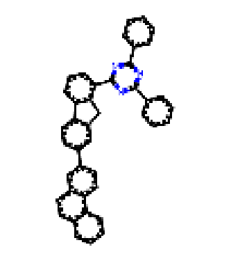 c1ccc(-c2nc(-c3ccccc3)nc(-c3cccc4c3Cc3cc(-c5ccc6c(ccc7ccccc76)c5)ccc3-4)n2)cc1